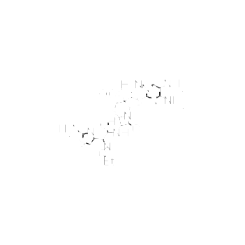 CCON=C(C(=O)NC1C(=O)N2CC(CSc3nc(N)c(N)c[n+]3N)(C(=O)[O-])CS[C@H]12)c1csc(N)n1